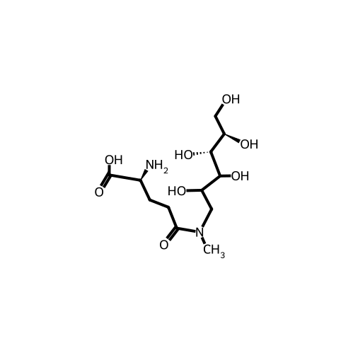 CN(CC(O)C(O)[C@H](O)[C@H](O)CO)C(=O)CC[C@H](N)C(=O)O